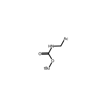 [CH2]C(=O)CNC(=O)OC(C)(C)C